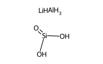 O=[Si](O)O.[AlH3].[LiH]